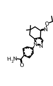 CCON=C1CC(C)(C)Cc2c1cnn2-c1ccc(C(N)=O)cc1